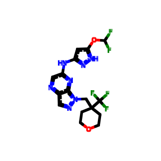 FC(F)Oc1cc(Nc2cnc3cnn(CC4(C(F)(F)F)CCOCC4)c3n2)n[nH]1